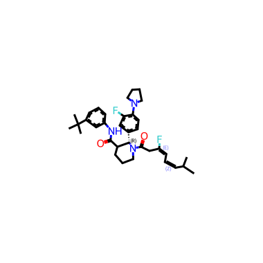 CC(C)/C=C\C=C(\F)CC(=O)N1CCCC(C(=O)Nc2cccc(C(C)(C)C)c2)[C@@H]1c1ccc(N2CCCC2)c(F)c1